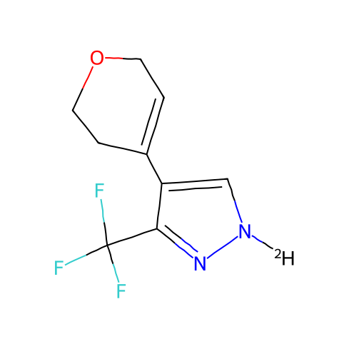 [2H]n1cc(C2=CCOCC2)c(C(F)(F)F)n1